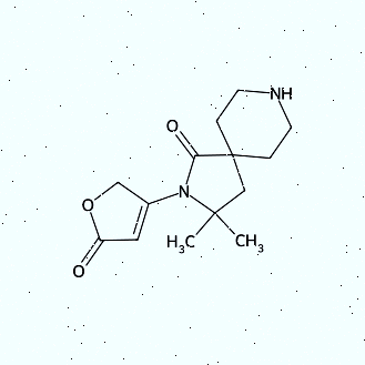 CC1(C)CC2(CCNCC2)C(=O)N1C1=CC(=O)OC1